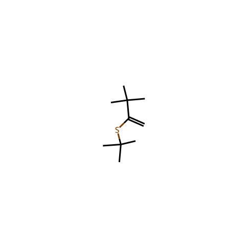 C=C(SC(C)(C)C)C(C)(C)C